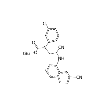 CC(C)(C)OC(=O)N(CC(C#N)Nc1cncc2ccc(C#N)cc12)c1cccc(Cl)c1